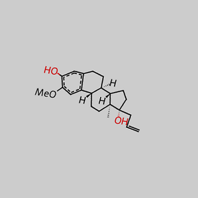 C=CC[C@]1(O)CC[C@H]2[C@@H]3CCc4cc(O)c(OC)cc4[C@H]3CC[C@@]21C